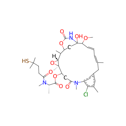 COC1/C=C/C=C(\C)Cc2cc(C)c(Cl)c(c2)N(C)C(=O)CC(OC(=O)[C@H](C)N(C)C(=O)CCC(C)(C)S)[C@@]2(C)O[C@@H]2C(C)C2CC1(O)NC(=O)O2